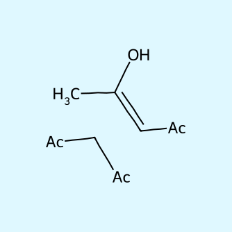 CC(=O)/C=C(/C)O.CC(=O)CC(C)=O